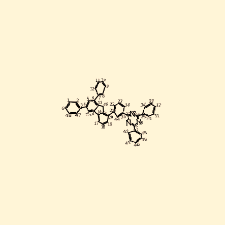 c1ccc(-c2cc(-c3ccccc3)c3c(c2)-c2cccc(-c4cccc(-c5nc(-c6ccccc6)nc(-c6ccccc6)n5)c4)c2C3)cc1